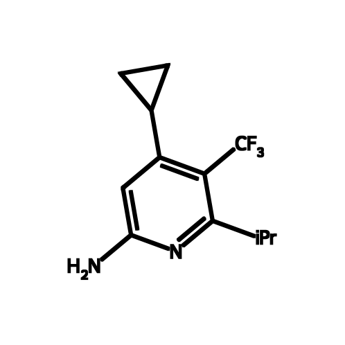 CC(C)c1nc(N)cc(C2CC2)c1C(F)(F)F